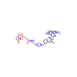 CCCCCNc1nc(N)nc2ccn(Cc3ccc(CN4CCN(CCCNC(=O)CCCC(=O)ON5C(=O)CCC5=O)CC4)cc3C)c12